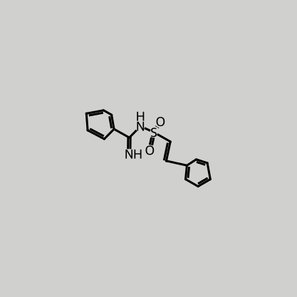 N=C(NS(=O)(=O)C=Cc1ccccc1)c1ccccc1